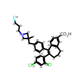 CC1(Cc2ccc(C3=C(c4ccc(Cl)cc4Cl)CCCc4cc(C(=O)O)ccc43)cc2)CN(CCCF)C1